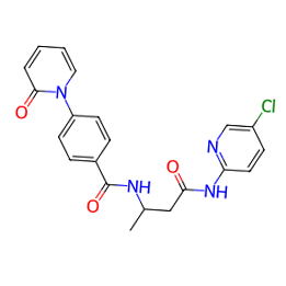 CC(CC(=O)Nc1ccc(Cl)cn1)NC(=O)c1ccc(-n2ccccc2=O)cc1